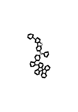 c1ccc(-c2ccc3sc4cc(N(c5ccccc5)c5ccc(-c6ccccc6-c6cccc7c6-c6ccccc6C76c7ccccc7-c7ccccc76)cc5)ccc4c3c2)cc1